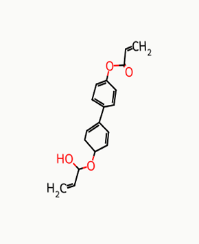 C=CC(=O)Oc1ccc(C2=CCC(OC(O)C=C)C=C2)cc1